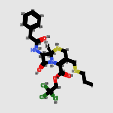 CCCSCC1=C(C(=O)OCC(Cl)(Cl)Cl)N2C(=O)[C@@H](NC(=O)Cc3ccccc3)[C@@H]2SC1